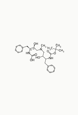 CN(CC(O)C(Cc1ccccc1)NC(=O)OC(C)(C)C)C[C@H](O)[C@H](Cc1ccccc1)NC(=O)O